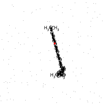 CC(C)CCOCCOCCOCCOCCOCCOCCOCCOCCOCCn1cc(CN2C(=O)CC(C(C)(C)C)C2=O)nn1